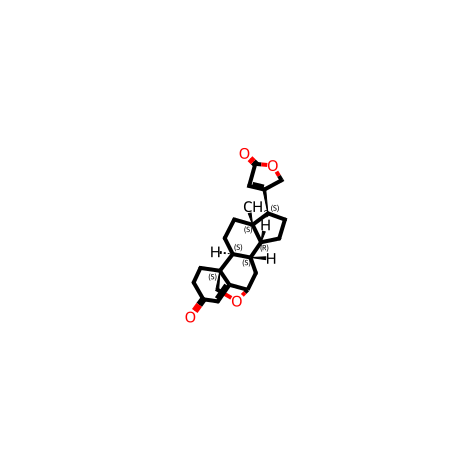 C[C@]12CC[C@H]3[C@@H](CC4OC[C@@]35CCC(=O)C=C45)[C@H]1CC[C@@H]2C1=CC(=O)OC1